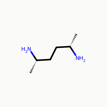 C[C@H](N)CC[C@H](C)N